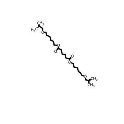 C=C(C)COCCCCCCOC(=O)CCCCC(=O)OCCCCCCOCC(=C)C